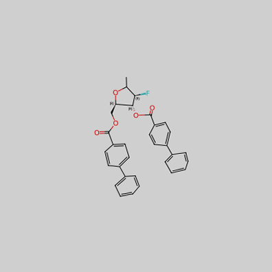 CC1O[C@H](COC(=O)c2ccc(-c3ccccc3)cc2)[C@@H](OC(=O)c2ccc(-c3ccccc3)cc2)[C@@H]1F